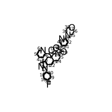 O=C(c1ccccn1)C12Cc3cnn(-c4ccc(F)cc4)c3C=C1CCN(S(=O)(=O)c1ccc(N3CCOCC3)nc1)C2